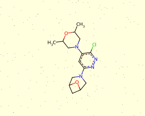 CC1CN(c2cc(N3CC4CC(C3)O4)nnc2Cl)CC(C)O1